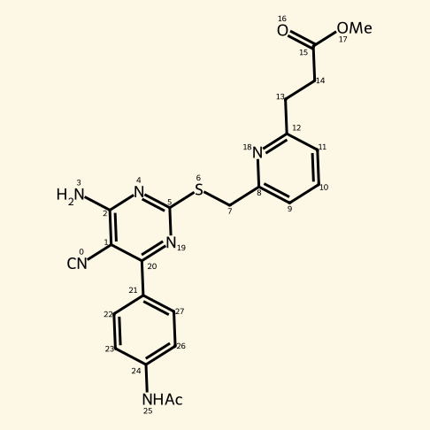 [C-]#[N+]c1c(N)nc(SCc2cccc(CCC(=O)OC)n2)nc1-c1ccc(NC(C)=O)cc1